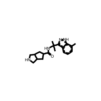 Cc1cccc2c(C(C)(C)NC(=O)C3CC4CNCC4C3)n[nH]c12